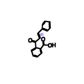 O=C(O)c1ccccc1C(=O)/C=C/c1ccccc1